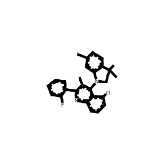 Cc1c(-c2ccccc2F)nc2cccc(Cl)c2c1N1CC(C)(C)c2ccc(I)cc21